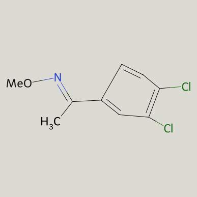 CO/N=C(\C)c1ccc(Cl)c(Cl)c1